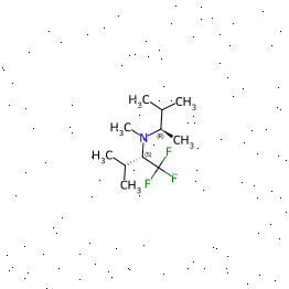 CC(C)[C@@H](C)N(C)[C@@H](C(C)C)C(F)(F)F